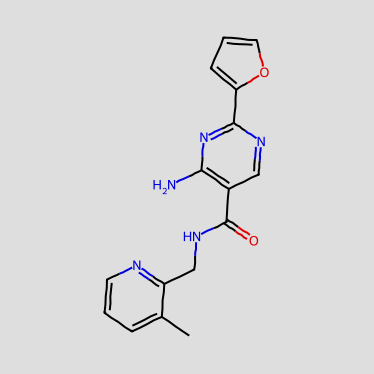 Cc1cccnc1CNC(=O)c1cnc(-c2ccco2)nc1N